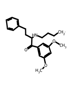 [CH2]CCCNC(CCc1ccccc1)C(=O)c1cc(OC)cc(OC)c1